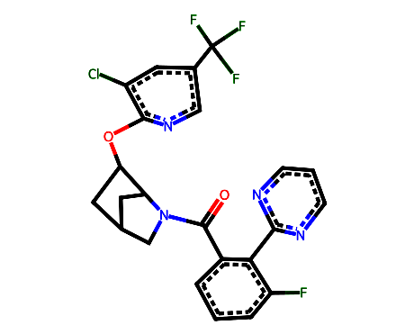 O=C(c1cccc(F)c1-c1ncccn1)N1CC2CC(Oc3ncc(C(F)(F)F)cc3Cl)C1C2